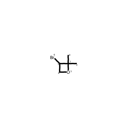 CC1(C)OCC1Br